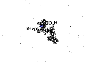 CCCCCCCC(N)c1cc(-c2ccc3c(c2)C2CCCC2N3c2ccc(C=C(c3ccccc3)c3ccccc3)cc2)sc1/C=C1/C(=O)c2cccc(C(=O)O)c2C1=O